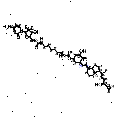 C=C1/C(=C\C=C2/CCC[C@@]3(C)C2CCC3[C@@H](C)/C=C/C(O)C2CC2)CC(OC(=O)NCCCCCCNC(=O)OCC2OC(n3ccc(N)nc3=O)C(F)(F)C2O)C[C@@H]1O